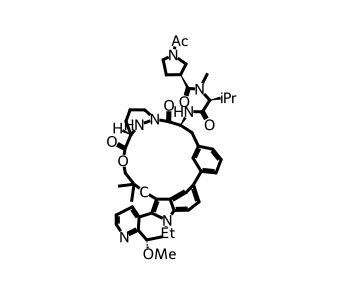 CCn1c(-c2cccnc2[C@H](C)OC)c2c3cc(ccc31)-c1cccc(c1)C[C@H](NC(=O)[C@H](C(C)C)N(C)C(=O)[C@H]1CCN(C(C)=O)C1)C(=O)N1CCC[C@H](N1)C(=O)OCC(C)(C)C2